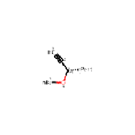 C#C[C@H](CCCCC)OCCCC